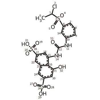 CC(Cl)S(=O)(=O)c1cccc(NC(=O)Nc2cc(S(=O)(=O)O)cc3cc(S(=O)(=O)O)cc(O)c23)c1